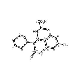 O=C(O)C(=O)Nc1c(-c2ccccc2)c(=O)[nH]c2cc(Cl)ccc12